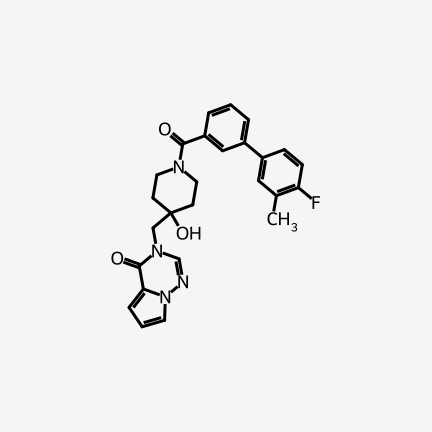 Cc1cc(-c2cccc(C(=O)N3CCC(O)(Cn4cnn5cccc5c4=O)CC3)c2)ccc1F